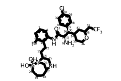 N[C@H](C(=O)Nc1cccc(F)c1CCC1CNC2CCCS(O)(O)N1C2)[C@@H](c1ccc(Cl)cc1)C1CCOC(CC(F)(F)F)C1